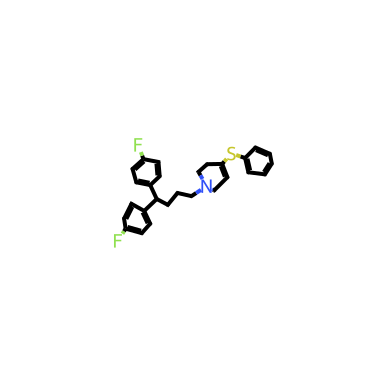 Fc1ccc(C(CCCN2CC=C(Sc3ccccc3)CC2)c2ccc(F)cc2)cc1